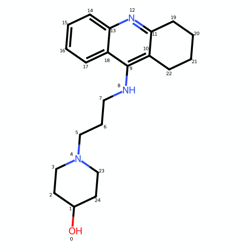 OC1CCN(CCCNc2c3c(nc4ccccc24)CCCC3)CC1